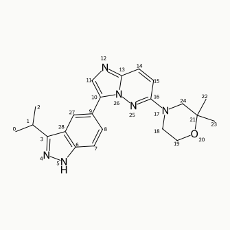 CC(C)c1n[nH]c2ccc(-c3cnc4ccc(N5CCOC(C)(C)C5)nn34)cc12